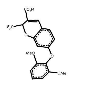 COc1cccc(OC)c1Oc1ccc2c(c1)OC(C(F)(F)F)C(C(=O)O)=C2